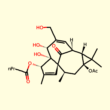 CCCC(=O)O[C@H]1C(C)=C[C@]23C(=O)[C@@H](C=C(CO)[C@@H](O)[C@]12O)[C@@H]1C(C)(C)[C@]1(OC(C)=O)C[C@H]3C